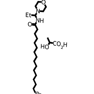 CC(O)C(=O)O.CCC(NC(=O)CCCCCCCCCCCCCCC(C)C)N1CCOCC1